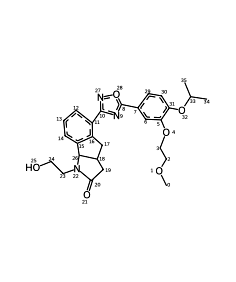 COCCOc1cc(-c2nc(-c3cccc4c3CC3CC(=O)N(CCO)C43)no2)ccc1OC(C)C